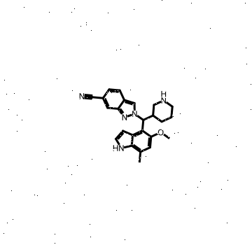 COc1cc(C)c2[nH]ccc2c1C(C1CCCNC1)n1cc2ccc(C#N)cc2n1